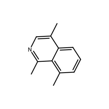 Cc1cnc(C)c2c(C)cccc12